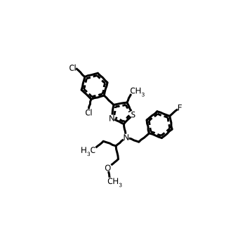 CCC(COC)N(Cc1ccc(F)cc1)c1nc(-c2ccc(Cl)cc2Cl)c(C)s1